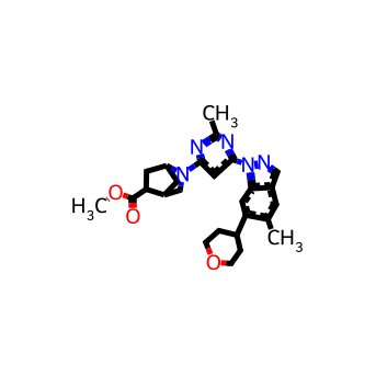 COC(=O)C1CC2CC1CN2c1cc(-n2ncc3cc(C)c(C4CCOCC4)cc32)nc(C)n1